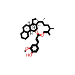 COc1cc(/C=C/C(=O)OC=C(C)[C@H](C)CC[C@@H](C)[C@H]2CC[C@H]3[C@@H]4CCC5CCCC[C@]5(C)[C@H]4CC[C@]23C)ccc1O